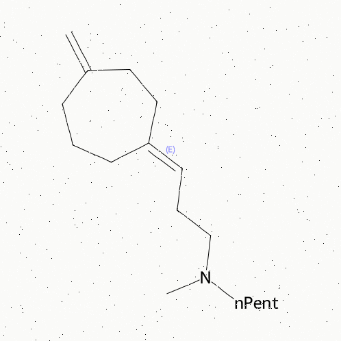 C=C1CCC/C(=C\CCN(C)CCCCC)CC1